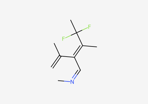 C=C(C)C(/C=N\C)=C(/C)C(C)(F)F